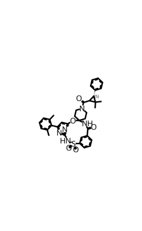 Cc1cccc(C)c1-c1cc2nc(n1)NS(=O)(=O)c1cccc(c1)C(=O)NC1(CCN(C(=O)C3[C@H](c4ccccc4)C3(C)C)CC1)O2